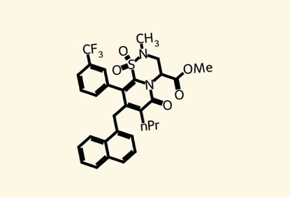 CCCc1c(Cc2cccc3ccccc23)c(-c2cccc(C(F)(F)F)c2)c2n(c1=O)C(C(=O)OC)CN(C)S2(=O)=O